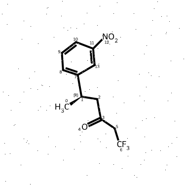 C[C@H](CC(=O)CC(F)(F)F)c1cccc([N+](=O)[O-])c1